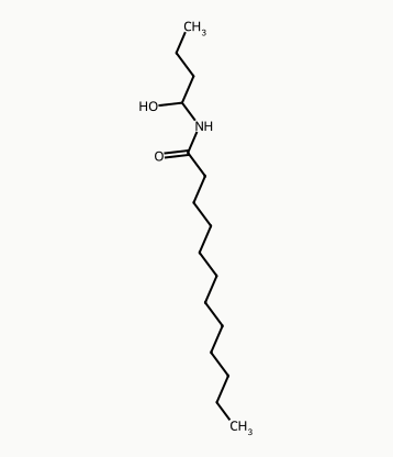 CCCCCCCCCCCC(=O)NC(O)CCC